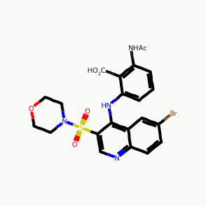 CC(=O)Nc1cccc(Nc2c(S(=O)(=O)N3CCOCC3)cnc3ccc(Br)cc23)c1C(=O)O